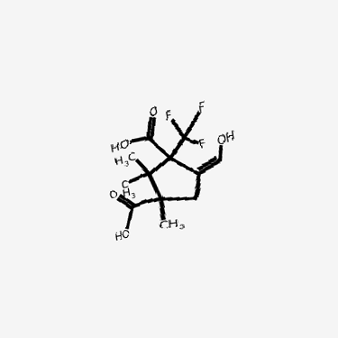 CC1(C(=O)O)C/C(=C/O)C(C(=O)O)(C(F)(F)F)C1(C)C